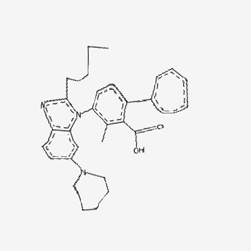 CCCCc1nc2ccc(N3CCCCC3)cc2n1-c1ccc(-c2ccccc2)c(C(=O)O)c1C